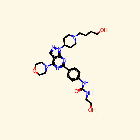 O=C(NCCO)Nc1ccc(-c2nc(N3CCOCC3)c3cnn(C4CCN(CCCCO)CC4)c3n2)cc1